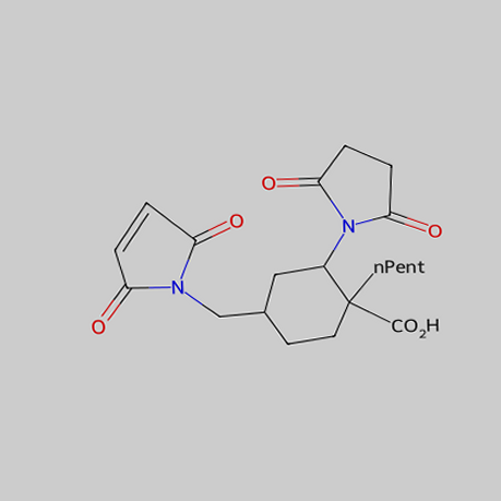 CCCCCC1(C(=O)O)CCC(CN2C(=O)C=CC2=O)CC1N1C(=O)CCC1=O